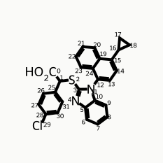 O=C(O)C(Sc1nc2ccccc2n1-c1ccc(C2CC2)c2ccccc12)c1ccc(Cl)cc1